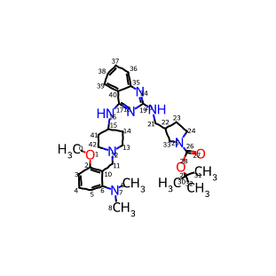 COc1cccc(N(C)C)c1CN1CCC(Nc2nc(NCC3CCN(C(=O)OC(C)(C)C)C3)nc3ccccc23)CC1